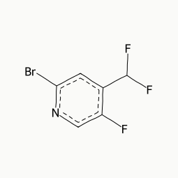 Fc1cnc(Br)cc1C(F)F